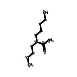 COCCN(CC[CH]CO)C(N)=O